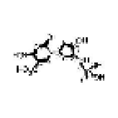 Nc1nc(=O)n([C@H]2C[C@H](O)[C@@H](NOP(=O)(O)O)O2)cc1C(=O)O